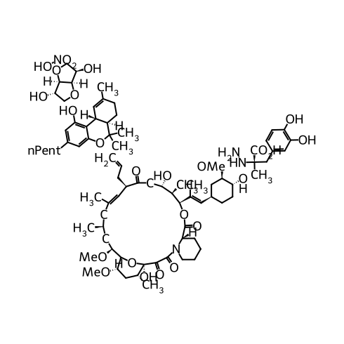 C=CC[C@@H]1/C=C(\C)C[C@H](C)C[C@H](OC)[C@H]2O[C@@](O)(C(=O)C(=O)N3CCCC[C@H]3C(=O)O[C@H](/C(C)=C/[C@@H]3CC[C@@H](O)[C@H](OC)C3)[C@H](C)[C@@H](O)CC1=O)[C@H](C)C[C@@H]2OC.CCCCCc1cc(O)c2c(c1)OC(C)(C)[C@@H]1CCC(C)=C[C@@H]21.C[C@@](Cc1ccc(O)c(O)c1)(NN)C(=O)O.O=[N+]([O-])O.O[C@@H]1CO[C@H]2[C@@H]1OC[C@@H]2O